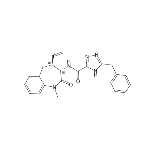 C=C[C@@H]1Cc2ccccc2N(C)C(=O)[C@H]1NC(=O)c1nnc(Cc2ccccc2)[nH]1